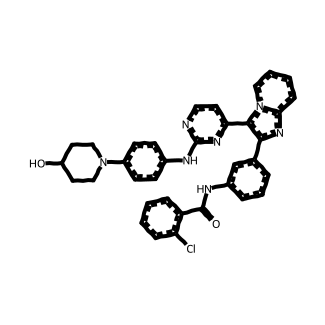 O=C(Nc1cccc(-c2nc3ccccn3c2-c2ccnc(Nc3ccc(N4CCC(O)CC4)cc3)n2)c1)c1ccccc1Cl